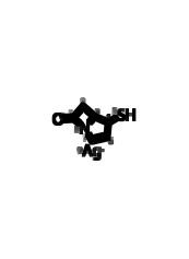 O=C1CC2C(S)C=CN12.[Ag]